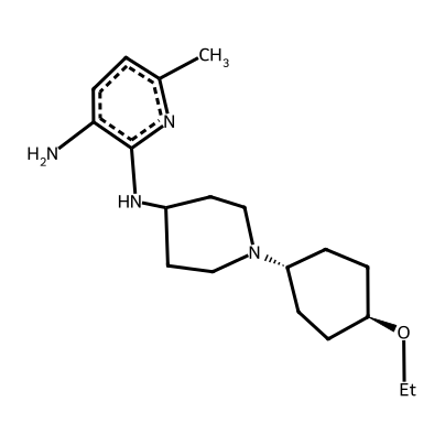 CCO[C@H]1CC[C@H](N2CCC(Nc3nc(C)ccc3N)CC2)CC1